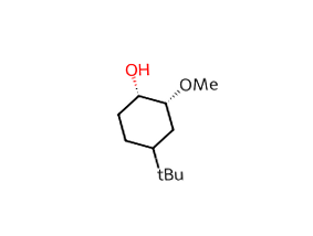 CO[C@@H]1CC(C(C)(C)C)CC[C@@H]1O